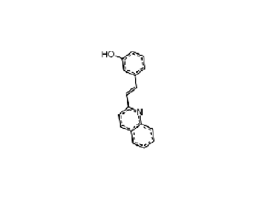 Oc1cccc(C=Cc2ccc3ccccc3n2)c1